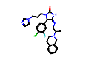 C=C(C/N=C1/NC(=O)N(CCCn2ccnc2)C1c1ccc(Cl)c(F)c1)N1CCc2ccccc2C1